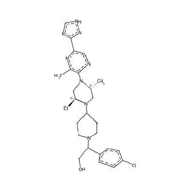 CC[C@H]1CN(c2ncc(-c3nc[nH]n3)nc2C)[C@H](C)CN1C1CCN(C(CO)c2ccc(Cl)cc2)CC1